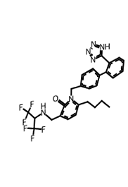 CCCCc1ccc(CNC(C(F)(F)F)C(F)(F)F)c(=O)n1Cc1ccc(-c2ccccc2-c2nnn[nH]2)cc1